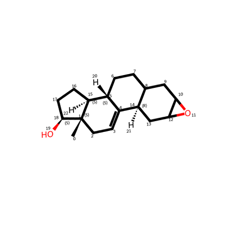 C[C@]12CC=C3[C@@H](CCC4CC5OC5C[C@@H]34)[C@@H]1CC[C@@H]2O